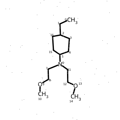 CCC1CCC(N(CCOC)CCOC)CC1